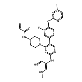 C=CC(=O)NC1CCN(c2nc(N/C(C=N)=C/NC)ncc2-c2ccc(Oc3nccc(C)n3)c(F)c2)CC1